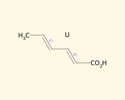 C/C=C/C=C/C(=O)O.[U]